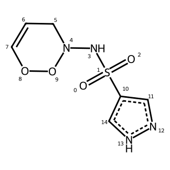 O=S(=O)(NN1CC=COO1)c1cn[nH]c1